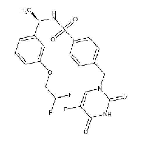 C[C@@H](NS(=O)(=O)c1ccc(Cn2cc(F)c(=O)[nH]c2=O)cc1)c1cccc(OCC(F)F)c1